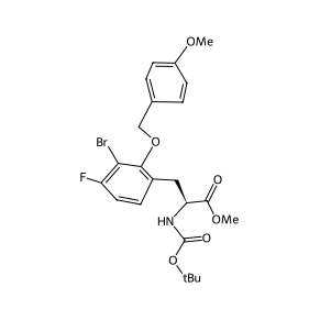 COC(=O)[C@H](Cc1ccc(F)c(Br)c1OCc1ccc(OC)cc1)NC(=O)OC(C)(C)C